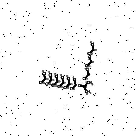 CC(C)=O.ClCCl.ClCCl.ClCCl.ClCCl.ClCCl.ClCCl.ClCCl.ClCCl.ClCCl